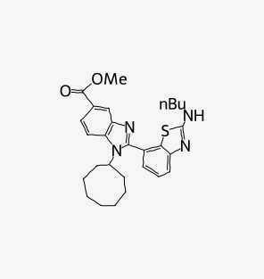 CCCCNc1nc2cccc(-c3nc4cc(C(=O)OC)ccc4n3C3CCCCCCC3)c2s1